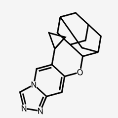 c1c(OC2C3CC4CC(C3)CC2C4)c(C2CC2)cn2cnnc12